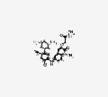 CNC(=O)COc1cc2cc(Nc3nc(N4C[C@@H](C)C[C@@H](N)C4)c(C#N)cc3Cl)ccc2n(C)c1=O